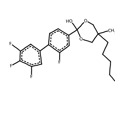 CCCCCC1(C)COC(O)(c2ccc(-c3cc(F)c(F)c(F)c3)c(F)c2)OC1